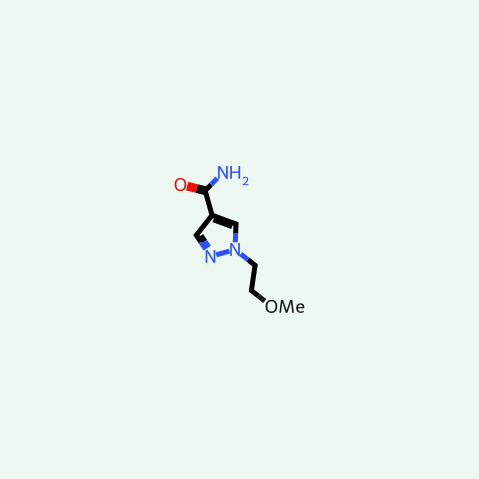 COCCn1cc(C(N)=O)cn1